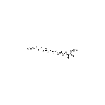 CCCCCCCCCCCCCCOCCOCCOCCNC(=O)OC(C)(C)C